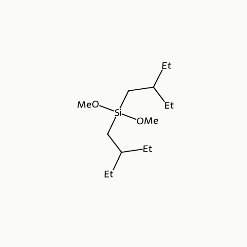 CCC(CC)C[Si](CC(CC)CC)(OC)OC